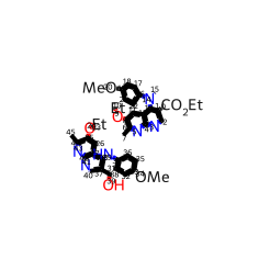 CCOC(=O)c1cnc2nc(C)c(OCC)cc2c1N(C)c1ccc(OC)cc1.CCOc1cc2c(Nc3ccc(OC)cc3)c(CO)cnc2nc1C